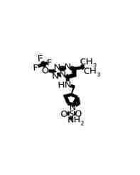 CC(C)c1cc(NC[C@@H]2CC3CC2CN3S(N)(=O)=O)n2nc(OC(F)(F)F)nc2n1